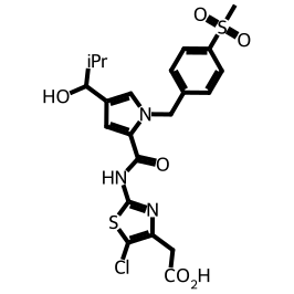 CC(C)C(O)c1cc(C(=O)Nc2nc(CC(=O)O)c(Cl)s2)n(Cc2ccc(S(C)(=O)=O)cc2)c1